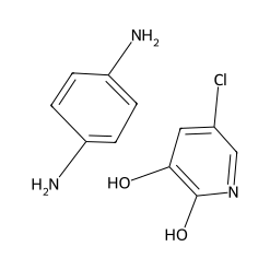 Nc1ccc(N)cc1.Oc1cc(Cl)cnc1O